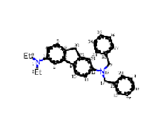 CCN(CC)c1ccc2c(c1)-c1ccc(N(Cc3ccccc3)Cc3ccccc3)cc1C2